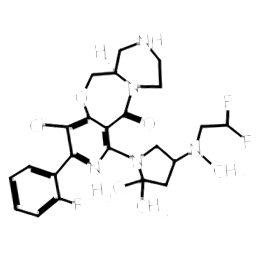 CN(CC(F)F)C1CN(c2nc(-c3ccccc3F)c(Cl)c3c2C(=O)N2CCNC[C@@H]2CO3)C(C)(C)C1